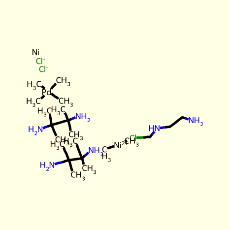 CC(C)(N)C(C)(C)N.CC(C)(N)C(C)(C)N.NCCNCCl.[CH3][Ni+2][CH3].[CH3][Pd]([CH3])([CH3])[CH3].[Cl-].[Cl-].[Ni]